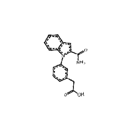 NC(=O)c1cc2ccccc2n1-c1cccc(CC(=O)O)c1